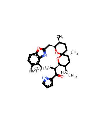 CNc1ccc2oc(C[C@@H]3OC4(CC[C@@H]3C)O[C@H](C(C)C(=O)c3ccc[nH]3)[C@H](C)C[C@H]4C)nc2c1C(=O)O.[CaH2]